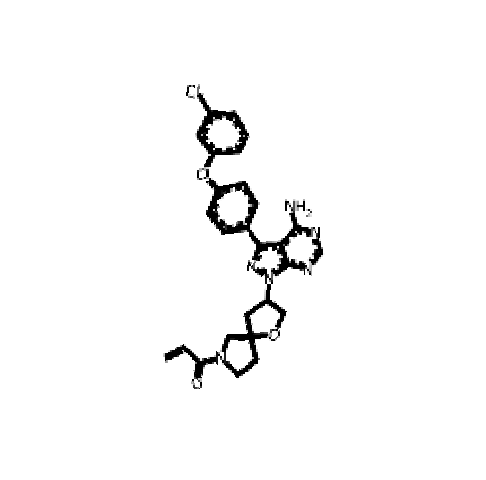 C=CC(=O)N1CCC2(CC(n3nc(-c4ccc(Oc5cccc(Cl)c5)cc4)c4c(N)ncnc43)CO2)C1